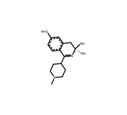 CCCC[C@@]1(C(C)(C)C)Cc2cc(OC)ccc2C(C2CCN(C)CC2)=N1